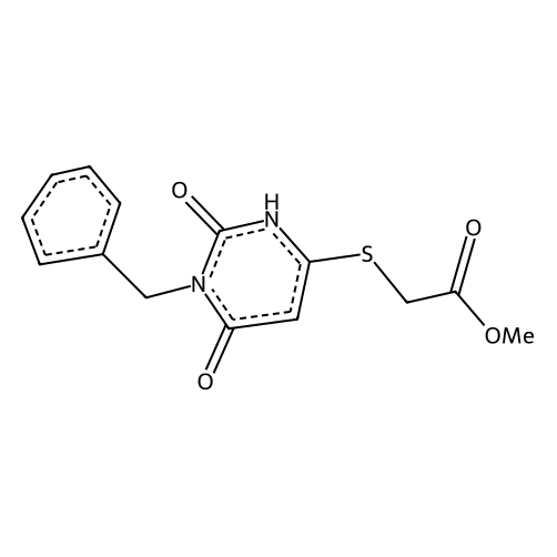 COC(=O)CSc1cc(=O)n(Cc2ccccc2)c(=O)[nH]1